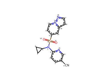 N#Cc1ccc(N(C2CC2)S(=O)(=O)c2ccn3nccc3c2)nc1